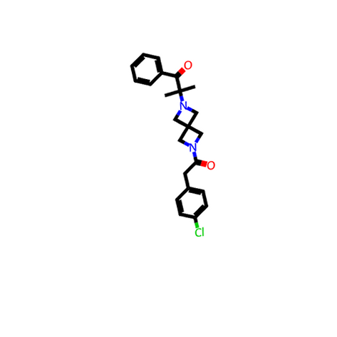 CC(C)(C(=O)c1ccccc1)N1CC2(CN(C(=O)Cc3ccc(Cl)cc3)C2)C1